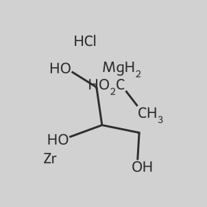 CC(=O)O.Cl.OCC(O)CO.[MgH2].[Zr]